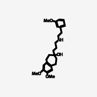 COc1cccc(CCNCCCC2(O)CCc3cc(OC)c(OC)cc3CC2)c1